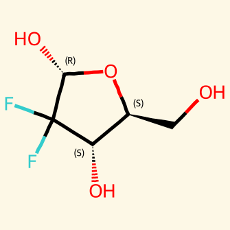 OC[C@@H]1O[C@@H](O)C(F)(F)[C@H]1O